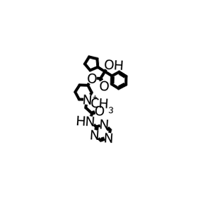 C[N+]1(CC(=O)Nc2ncncn2)CCCC(OC(=O)C(O)(c2ccccc2)C2CCCC2)C1